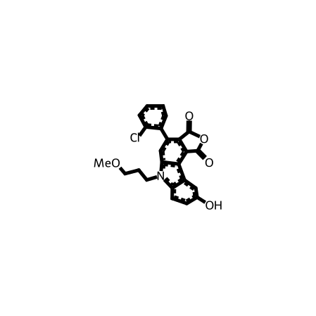 COCCCn1c2ccc(O)cc2c2c3c(c(-c4ccccc4Cl)cc21)C(=O)OC3=O